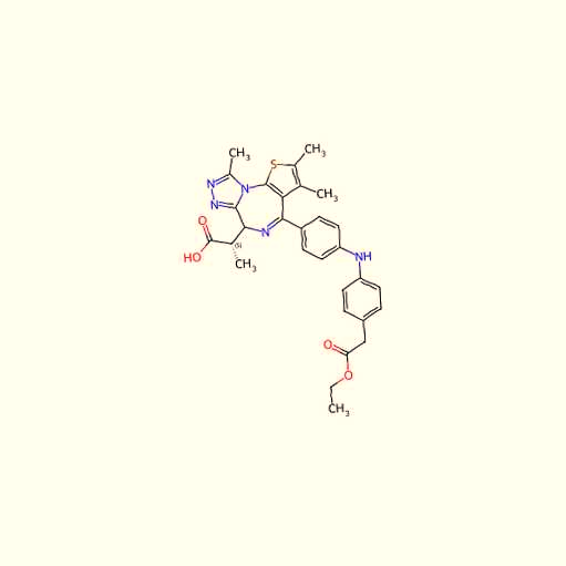 CCOC(=O)Cc1ccc(Nc2ccc(C3=NC([C@H](C)C(=O)O)c4nnc(C)n4-c4sc(C)c(C)c43)cc2)cc1